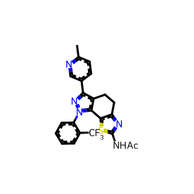 CC(=O)Nc1nc2c(s1)-c1c(c(-c3ccc(C)nc3)nn1-c1ccccc1C(F)(F)F)CC2